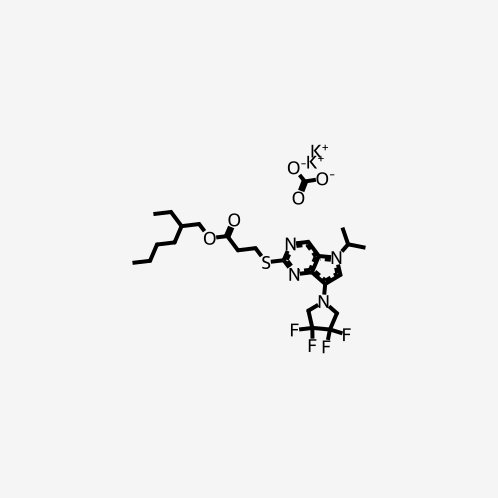 CCCCC(CC)COC(=O)CCSc1ncc2c(n1)c(N1CC(F)(F)C(F)(F)C1)cn2C(C)C.O=C([O-])[O-].[K+].[K+]